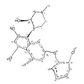 CN1CC[C@@H](c2c(O)cc(O)c3c(=O)cc(Oc4ccccc4Cl)oc23)[C@@H](O)C1